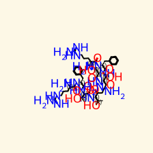 C[C@@H](O)[C@H](NC(=O)[C@@H](NC(=O)[C@H](Cc1ccccc1)NC(=O)[C@@H](N)CCCNC(=N)N)[C@@H](C)O)C(=O)CC(N)(N)C(=O)[C@@H](NC(=O)[C@@H](NC(=O)[C@H](Cc1ccccc1)NC(=O)[C@@H](N)CCCNC(=N)N)[C@@H](C)O)[C@@H](C)O